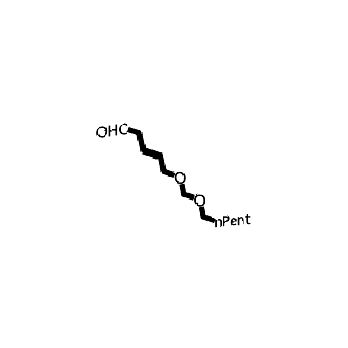 CCCCCCOCOCC=CCC=O